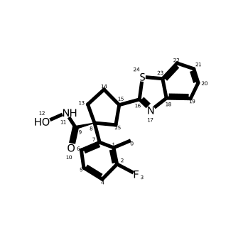 Cc1c(F)cccc1[C@]1(C(=O)NO)CCC(c2nc3ccccc3s2)C1